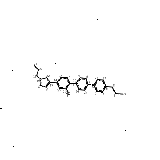 CCCc1ccc(-c2ccc(-c3ccc(C4=CCC(CCC)C4)cc3F)cc2)cc1